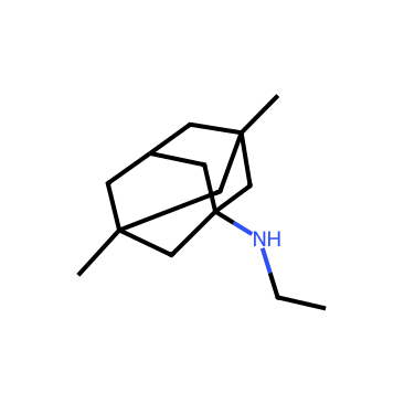 CCNC12CC3CC(C)(CC(C)(C3)C1)C2